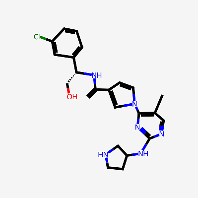 C=C(N[C@H](CO)c1cccc(Cl)c1)c1ccn(-c2nc(NC3CCNC3)ncc2C)c1